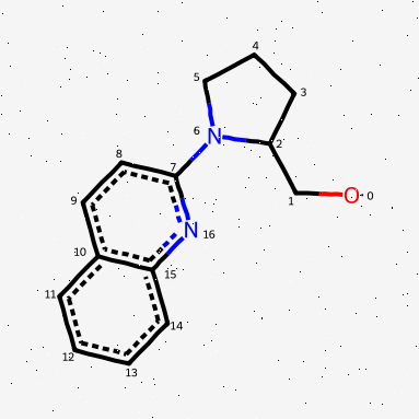 [O]CC1CCCN1c1ccc2ccccc2n1